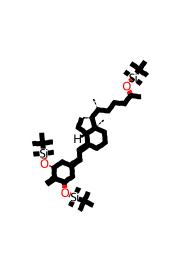 C=C1C(O[Si](C)(C)C(C)(C)C)C/C(=C/C=C2\CCC[C@]3(C)[C@@H]([C@H](C)CCCC(C)O[Si](C)(C)C(C)(C)C)CC[C@@H]23)C[C@H]1O[Si](C)(C)C(C)(C)C